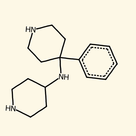 c1ccc(C2(NC3CCNCC3)CCNCC2)cc1